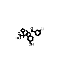 Cc1c([C@](C)(C(=O)O)C2CCC2)c2cc(O)ccc2n1C(=O)c1cccc(Cl)c1